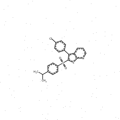 CC(C)c1ccc(S(=O)(=O)c2sc3ncccc3c2-c2ccc(Cl)cc2)cc1